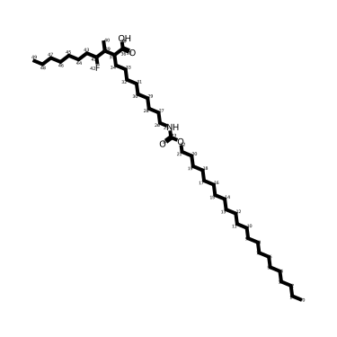 CCCCCCCCCCCCCCCCCCCCCCOC(=O)NCCCCCCCCCC(C(=O)O)C(C)C(F)CCCCCCC